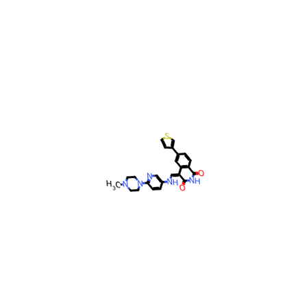 CN1CCN(c2ccc(NC=C3C(=O)NC(=O)c4ccc(-c5ccsc5)cc43)cn2)CC1